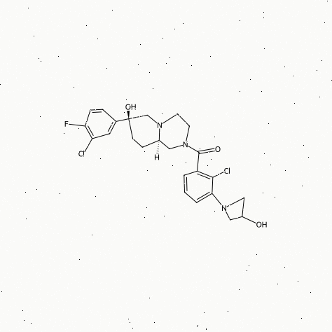 O=C(c1cccc(N2CC(O)C2)c1Cl)N1CCN2C[C@@](O)(c3ccc(F)c(Cl)c3)CC[C@@H]2C1